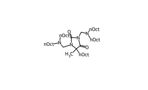 CCCCCCCCN(CCCCCCCC)CN1C(=O)N(CN(CCCCCCCC)CCCCCCCC)C(C)(CCCCCCCC)C1=O